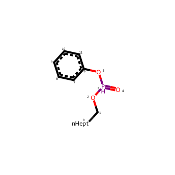 CCCCCCCCO[PH](=O)Oc1ccccc1